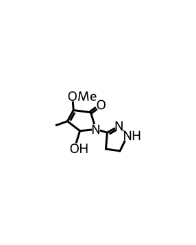 COC1=C(C)C(O)N(C2=NNCC2)C1=O